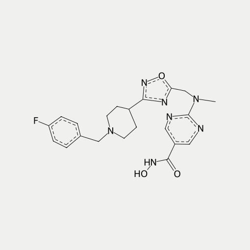 CN(Cc1nc(C2CCN(Cc3ccc(F)cc3)CC2)no1)c1ncc(C(=O)NO)cn1